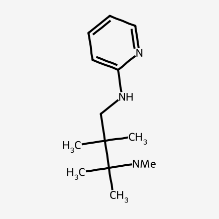 CNC(C)(C)C(C)(C)CNc1ccccn1